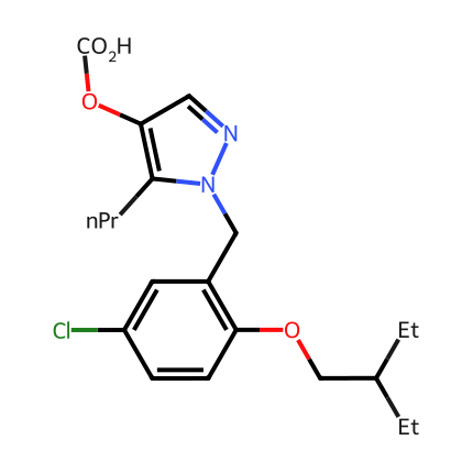 CCCc1c(OC(=O)O)cnn1Cc1cc(Cl)ccc1OCC(CC)CC